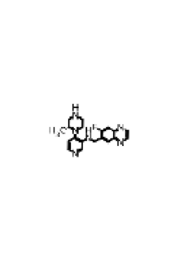 C[C@@H]1CNCCN1c1ccncc1NCc1cc2nccnc2cc1F